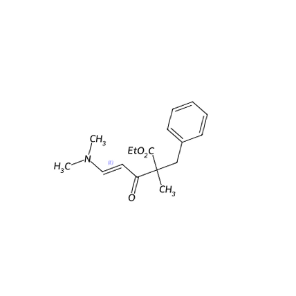 CCOC(=O)C(C)(Cc1ccccc1)C(=O)/C=C/N(C)C